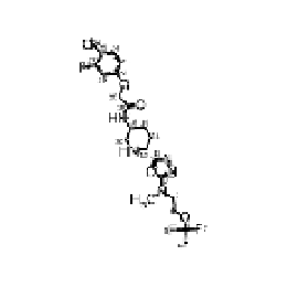 CN(CCOC(F)(F)F)c1nnc([C@H]2CC[C@H](NC(=O)COc3ccc(Cl)c(F)c3)CN2)o1